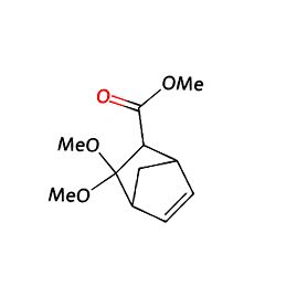 COC(=O)C1C2C=CC(C2)C1(OC)OC